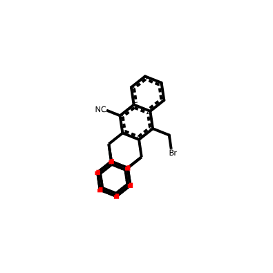 N#Cc1c2c(c(CBr)c3ccccc13)C1c3ccccc3C2c2ccccc21